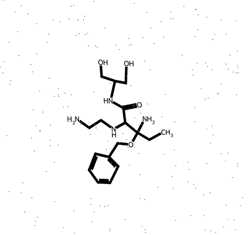 CCC(N)(OCc1ccccc1)C(NCCN)C(=O)NC(CO)CO